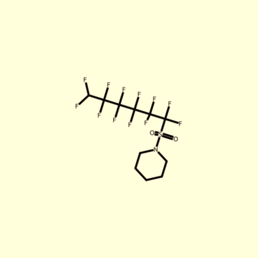 O=S(=O)(N1CCCCC1)C(F)(F)C(F)(F)C(F)(F)C(F)(F)C(F)(F)C(F)F